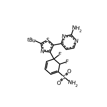 CC(C)(C)c1nc(C2(F)C=CC=C(S(N)(=O)=O)C2F)c(-c2ccnc(N)n2)s1